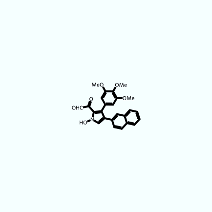 COc1cc(-c2c(-c3ccc4ccccc4c3)cn(O)c2C(=O)C=O)cc(OC)c1OC